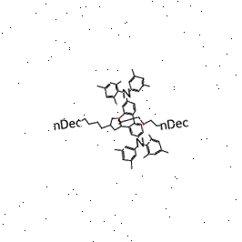 CCCCCCCCCCCCCCC1C[C@]23CC(CCCCCCCCCCCCCC)C[C@@]2(C1)c1cc(N(c2cc(C)cc(C)c2)c2c(C)cc(C)cc2C)ccc1-c1ccc(N(c2cc(C)cc(C)c2)c2c(C)cc(C)cc2C)cc13